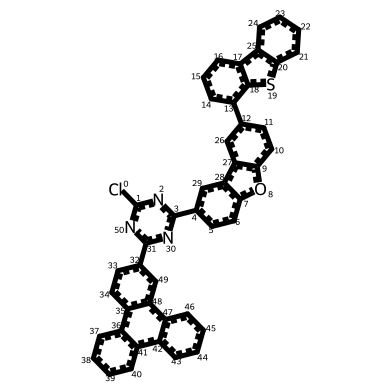 Clc1nc(-c2ccc3oc4ccc(-c5cccc6c5sc5ccccc56)cc4c3c2)nc(-c2ccc3c4ccccc4c4ccccc4c3c2)n1